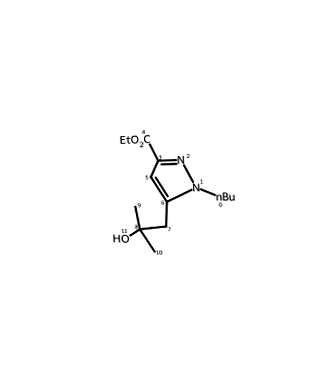 CCCCn1nc(C(=O)OCC)cc1CC(C)(C)O